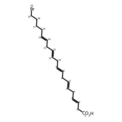 O=C(O)CC=CCC=CCC=CCC=CCC=CCCCCBr